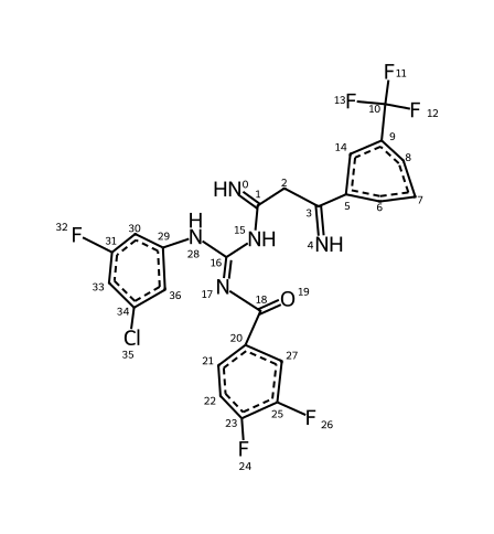 N=C(CC(=N)c1cccc(C(F)(F)F)c1)N/C(=N\C(=O)c1ccc(F)c(F)c1)Nc1cc(F)cc(Cl)c1